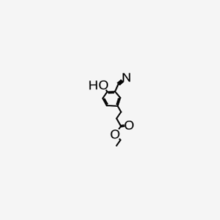 CCOC(=O)CCc1ccc(O)c(C#N)c1